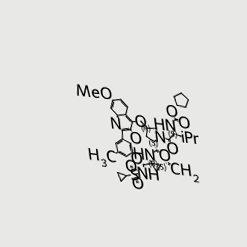 C=C[C@@H]1C[C@]1(NC(=O)[C@@H]1C[C@@H](Oc2c3ccc(OC)cc3nc3c2oc2ccc(C)cc23)CN1C(=O)[C@@H](NC(=O)OC1CCCC1)C(C)C)C(=O)NS(=O)(=O)C1CC1